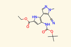 CCOC(=O)c1cc(NC(=O)OC(C)(C)C)c(-c2cnn(C)c2C#N)[nH]1